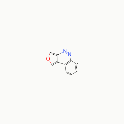 [c]1cccc2c1nnc1cocc12